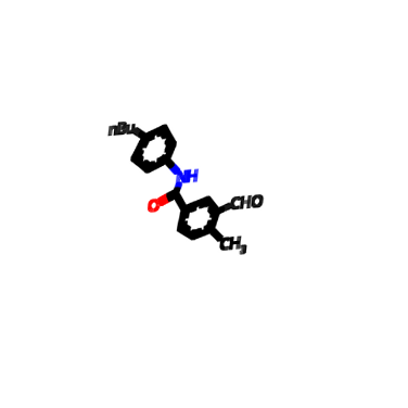 CCCCc1ccc(NC(=O)c2ccc(C)c(C=O)c2)cc1